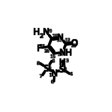 CN([SiH](C)C)[Si](C)(C)C.Nc1nc(=O)[nH]cc1F